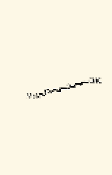 CNCCOCCCCCOCCCCCC=O